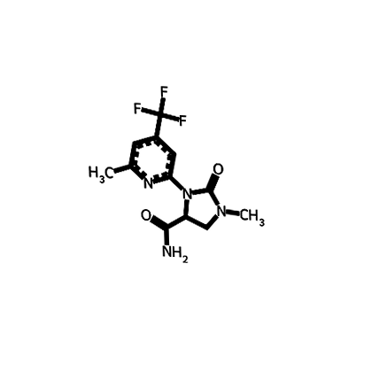 Cc1cc(C(F)(F)F)cc(N2C(=O)N(C)CC2C(N)=O)n1